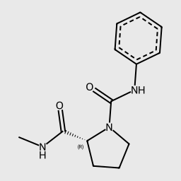 CNC(=O)[C@H]1CCCN1C(=O)Nc1ccccc1